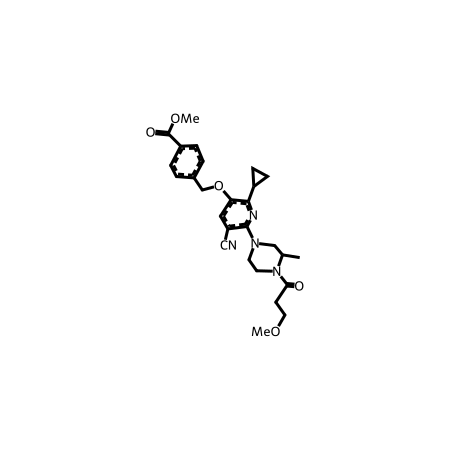 COCCC(=O)N1CCN(c2nc(C3CC3)c(OCc3ccc(C(=O)OC)cc3)cc2C#N)CC1C